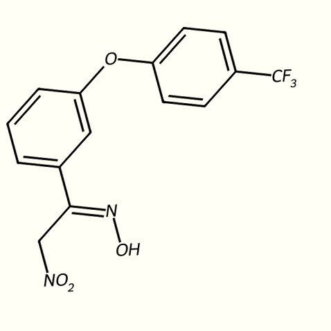 O=[N+]([O-])CC(=NO)c1cccc(Oc2ccc(C(F)(F)F)cc2)c1